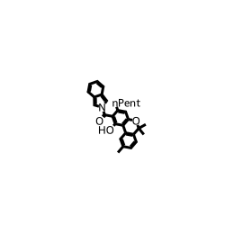 CCCCCc1cc2c(c(O)c1C(=O)n1cc3ccccc3c1)-c1cc(C)ccc1C(C)(C)O2